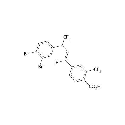 O=C(O)c1ccc(C(F)=CC(c2ccc(Br)c(Br)c2)C(F)(F)F)cc1C(F)(F)F